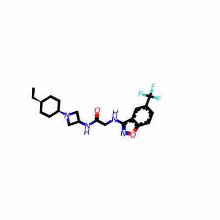 CC[C@H]1CC[C@@H](N2CC(NC(=O)CNc3noc4ccc(C(F)(F)F)cc34)C2)CC1